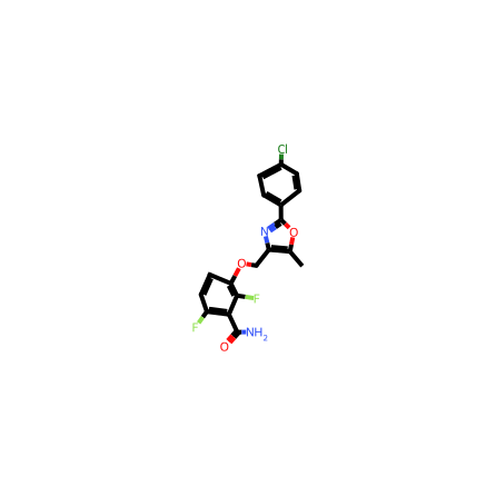 Cc1oc(-c2ccc(Cl)cc2)nc1COc1ccc(F)c(C(N)=O)c1F